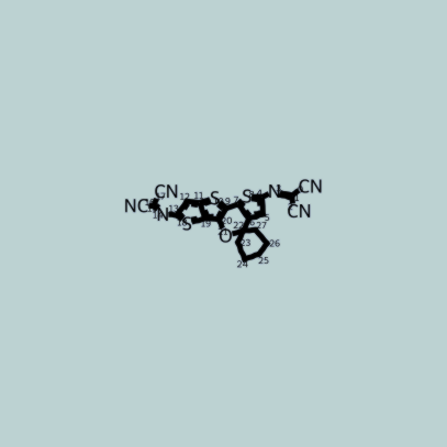 N#CC(C#N)=Nc1cc2c(s1)-c1sc3cc(N=C(C#N)C#N)sc3c1OC21CCCCC1